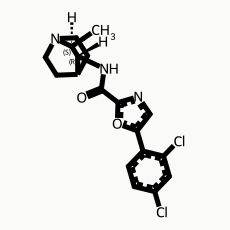 C[C@H]1[C@H](NC(=O)c2ncc(-c3ccc(Cl)cc3Cl)o2)C2CCN1CC2